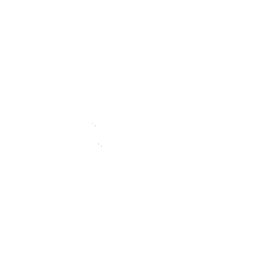 Cn1cc2cc(OBO)ccc2n1